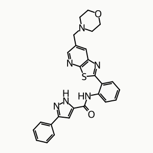 O=C(Nc1ccccc1-c1nc2cc(CN3CCOCC3)cnc2s1)c1cc(-c2ccccc2)n[nH]1